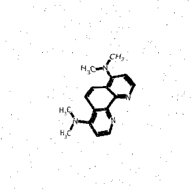 CN(C)c1ccnc2c1ccc1c(N(C)C)ccnc12